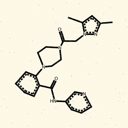 Cc1cc(C)n(CC(=O)N2CCN(c3ccccc3C(=O)Nc3cccnc3)CC2)n1